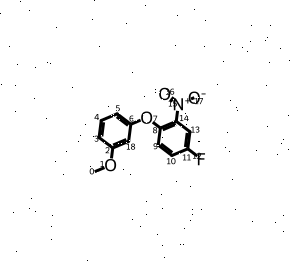 COc1cccc(Oc2ccc(F)cc2[N+](=O)[O-])c1